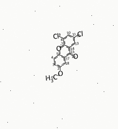 COc1ccc2oc3c(Cl)cc(Cl)cc3c(=O)c2c1